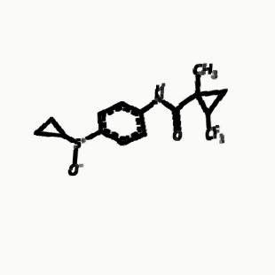 CC1(C(=O)Nc2ccc([S+]([O-])C3CC3)cc2)CC1C(F)(F)F